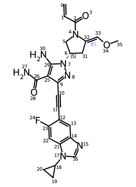 C=CC(=O)N1C[C@@H](n2nc(C#Cc3cc4ncn(C5CC5)c4cc3F)c(C(N)=O)c2N)C/C1=C\OC